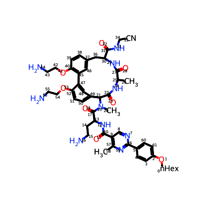 CCCCCCOc1ccc(-c2ncc(C(=O)NC(CCN)C(=O)N(C)C3C(=O)NC(C)C(=O)NC(C(=O)NCC#N)Cc4ccc(OCCN)c(c4)-c4cc3ccc4OCCN)c(C)n2)cc1